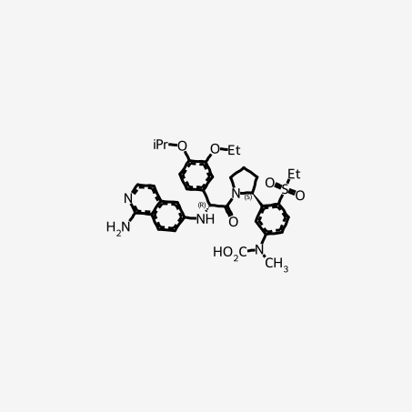 CCOc1cc([C@@H](Nc2ccc3c(N)nccc3c2)C(=O)N2CCC[C@H]2c2cc(N(C)C(=O)O)ccc2S(=O)(=O)CC)ccc1OC(C)C